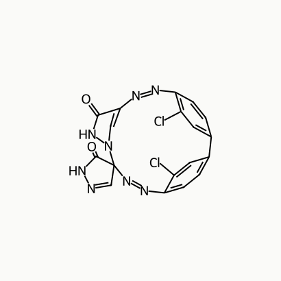 O=C1NN=CC12N=Nc1ccc(cc1Cl)-c1ccc(c(Cl)c1)N=Nc1cn2[nH]c1=O